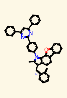 C=c1cccc/c1=C/c1c(C)n(-c2ccc(-c3nc(-c4ccccc4)cc(-c4ccccc4)n3)cc2)c2c1ccc1c3ccccc3oc12